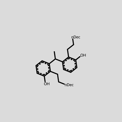 CCCCCCCCCCCCc1c(O)cccc1C(C)c1cccc(O)c1CCCCCCCCCCCC